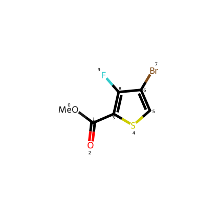 COC(=O)c1scc(Br)c1F